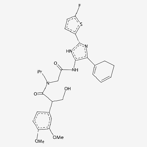 COc1ccc(C(CO)C(=O)N(CC(=O)Nc2[nH]c(-c3ccc(F)s3)nc2C2=CC=CCC2)C(C)C)cc1OC